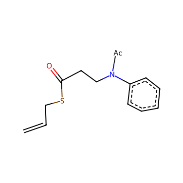 C=CCSC(=O)CCN(C(C)=O)c1ccccc1